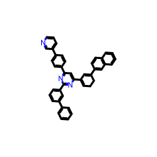 C1=C=Cc2cc(C3=CC(c4cc(-c5ccc(-c6cccnc6)cc5)nc(-c5cccc(-c6ccccc6)c5)n4)=CCC3)ccc2C=1